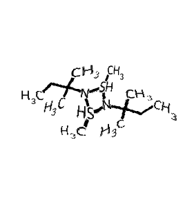 CCC(C)(C)N1[SH](C)N(C(C)(C)CC)[SH]1C